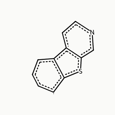 [c]1cccc2c1sc1cnccc12